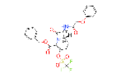 O=C(COc1ccccc1)N[C@@H]1C(=O)N2C(C(=O)OCc3ccccc3)=C(OS(=O)(=O)C(F)(F)F)CC[C@@H]12